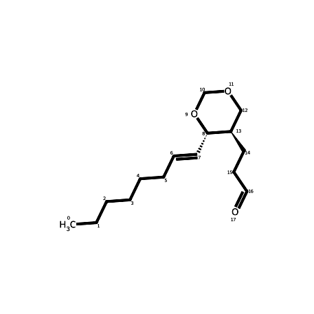 CCCCCCC=C[C@@H]1OCOC[C@H]1CCC=O